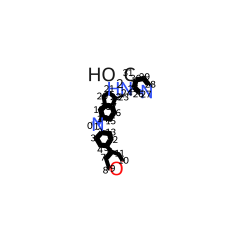 CN(c1ccc(C2=CCOCC2)cc1)c1ccc2c(c1)CC[C@H]2CNc1cnccc1C(=O)O